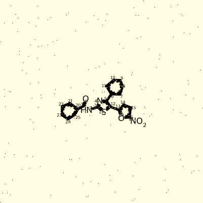 O=C(Nc1nc(-c2ccccc2)c(-c2ccc([N+](=O)[O-])o2)s1)c1ccccc1